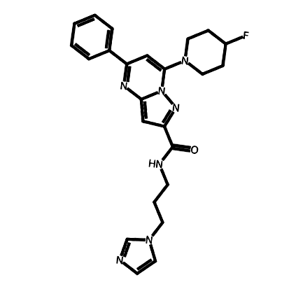 O=C(NCCCn1ccnc1)c1cc2nc(-c3ccccc3)cc(N3CCC(F)CC3)n2n1